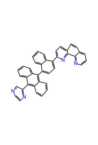 c1cnc2c(c1)ccc1ccc(-c3ccc(-c4c5ccccc5c(-c5cnccn5)c5ccccc45)c4ccccc34)nc12